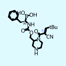 CC(C)(C)/C=C(\C#N)C(=O)N1CCNCC1COC(=O)N[C@@H](Cc1ccccc1)B(O)O